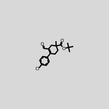 CC(C)(C)OC(=O)C1(C)CCC(c2ccc(Cl)cc2)=C(C=O)C1